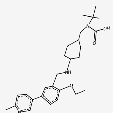 CCOc1ccc(-c2ccc(C)nc2)cc1CNC1CCC(CN(C(=O)O)C(C)(C)C)CC1